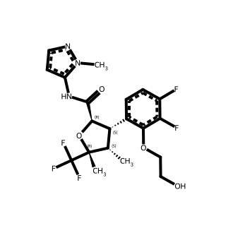 C[C@H]1[C@@H](c2ccc(F)c(F)c2OCCO)[C@H](C(=O)Nc2ccnn2C)O[C@@]1(C)C(F)(F)F